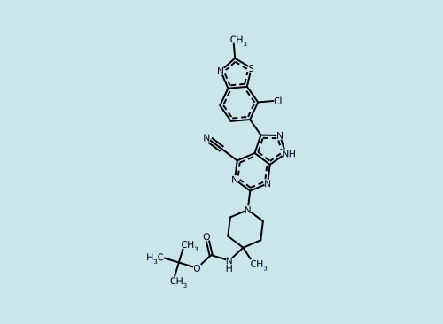 Cc1nc2ccc(-c3n[nH]c4nc(N5CCC(C)(NC(=O)OC(C)(C)C)CC5)nc(C#N)c34)c(Cl)c2s1